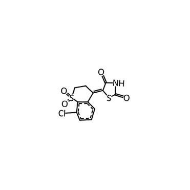 O=C1NC(=O)C(=C2CCS(=O)(=O)c3c(Cl)cccc32)S1